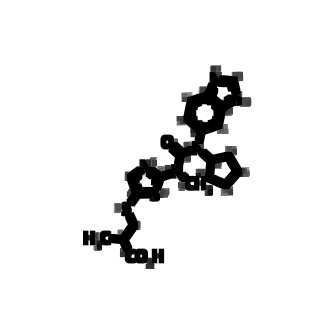 CC(CSc1cnc(N(C)C(=O)N(c2ccc3ncsc3c2)C2CCCC2)s1)C(=O)O